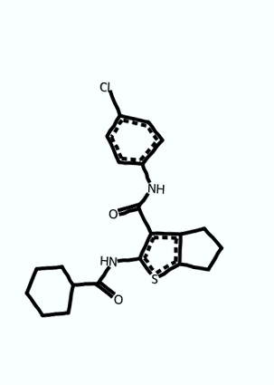 O=C(Nc1ccc(Cl)cc1)c1c(NC(=O)C2CCCCC2)sc2c1CCC2